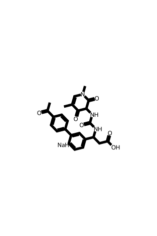 CC(=O)c1ccc(-c2cccc(C(CC(=O)O)NC(=O)NC3C(=O)C(C)=CN(C)C3=O)c2)cc1.[NaH]